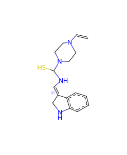 C=CN1CCN(C(S)N/C=C2/CNc3ccccc32)CC1